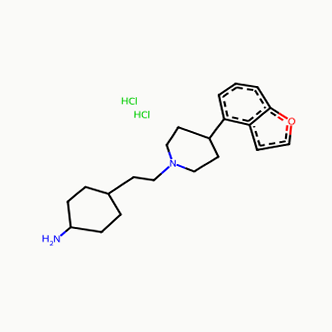 Cl.Cl.NC1CCC(CCN2CCC(c3cccc4occc34)CC2)CC1